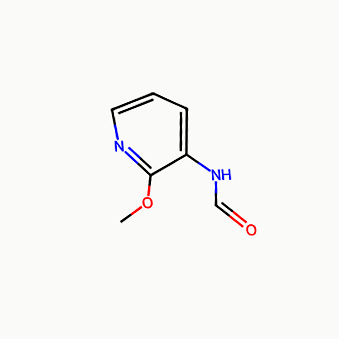 COc1ncccc1NC=O